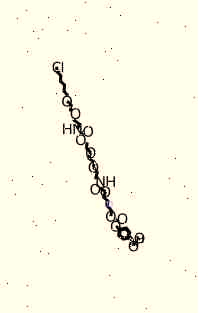 O=C(NCCOCCOCCOC(=O)NCCOCCOCCCCCCCl)OC/C=C/COC(=O)Oc1ccc([N+](=O)[O-])cc1